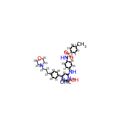 Cc1ccc(S(=O)(=O)Nc2ccc(Nc3cc(-c4ccc(CCCN5CCOCC5)cc4)ncn3)cc2)cc1.O=CO